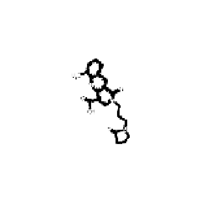 Cc1cccc2cc3c(=O)n(CCCN4CCCC4=O)cc(C(=O)O)c3nc12